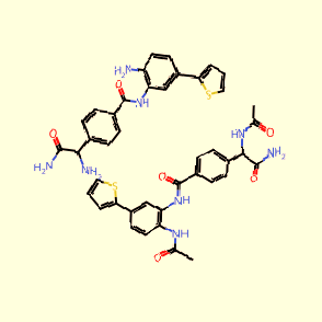 CC(=O)Nc1ccc(-c2cccs2)cc1NC(=O)c1ccc(C(NC(C)=O)C(N)=O)cc1.NC(=O)C(N)c1ccc(C(=O)Nc2cc(-c3cccs3)ccc2N)cc1